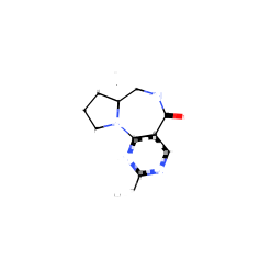 CSc1ncc2c(n1)N1CCC[C@H]1CNC2=O